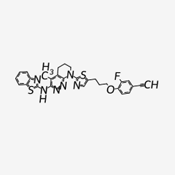 C#Cc1ccc(OCCCc2cnc(N3CCCc4c3nnc(Nc3nc5ccccc5s3)c4C)s2)c(F)c1